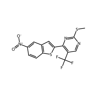 CSc1ncc(C(F)(F)F)c(-c2cc3cc([N+](=O)[O-])ccc3s2)n1